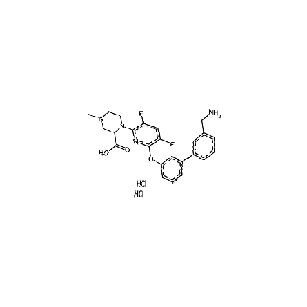 CN1CCN(c2nc(Oc3cccc(-c4cccc(CN)c4)c3)c(F)cc2F)C(C(=O)O)C1.Cl.Cl